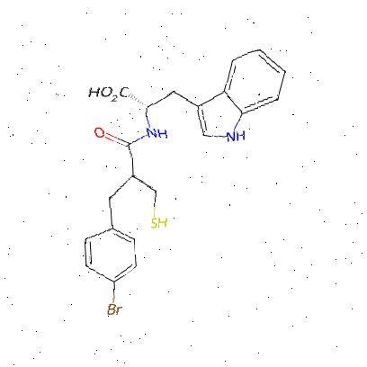 O=C(N[C@@H](Cc1c[nH]c2ccccc12)C(=O)O)C(CS)Cc1ccc(Br)cc1